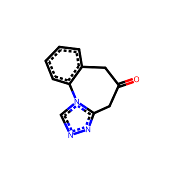 O=C1Cc2ccccc2-n2cnnc2C1